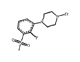 CCN1CCN(c2cccc(S(C)(=O)=O)c2F)CC1